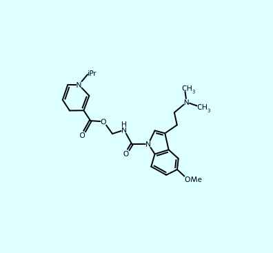 COc1ccc2c(c1)c(CCN(C)C)cn2C(=O)NCOC(=O)C1=CN(C(C)C)C=CC1